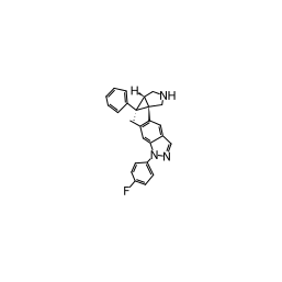 Cc1cc2c(cnn2-c2ccc(F)cc2)cc1[C@]12CNC[C@H]1[C@]2(C)c1ccccc1